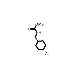 COC(=O)NC[C@H]1CC[C@H](C(C)=O)CC1